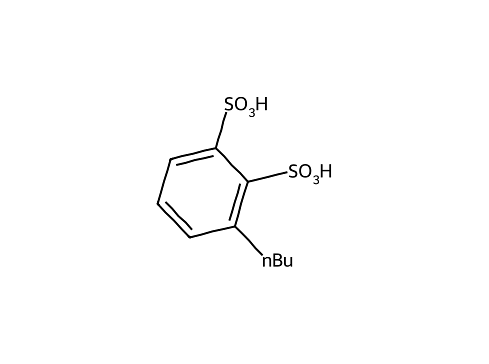 CCCCc1cccc(S(=O)(=O)O)c1S(=O)(=O)O